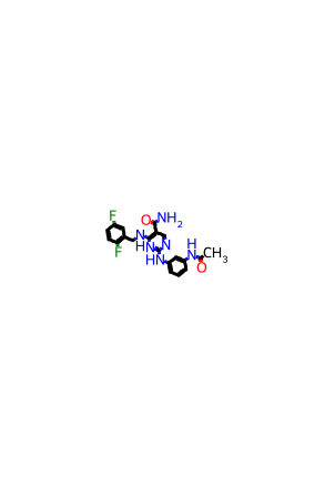 CC(=O)Nc1cccc(Nc2ncc(C(N)=O)c(NCc3cc(F)ccc3F)n2)c1